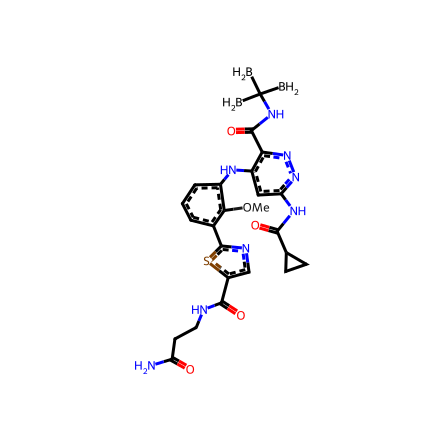 BC(B)(B)NC(=O)c1nnc(NC(=O)C2CC2)cc1Nc1cccc(-c2ncc(C(=O)NCCC(N)=O)s2)c1OC